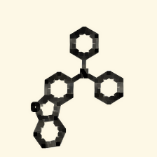 c1ccc(N(c2ccccc2)c2ccc3oc4ccccc4c3c2)cc1